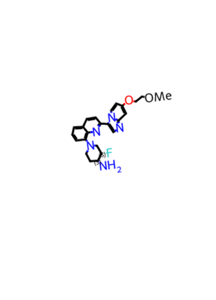 COCCOc1ccn2c(-c3ccc4cccc(N5CC[C@H](N)[C@@H](F)C5)c4n3)cnc2c1